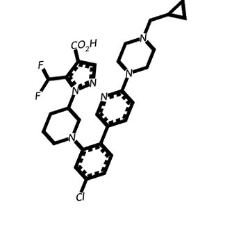 O=C(O)c1cnn(C2CCCN(c3cc(Cl)ccc3-c3ccc(N4CCN(CC5CC5)CC4)nc3)C2)c1C(F)F